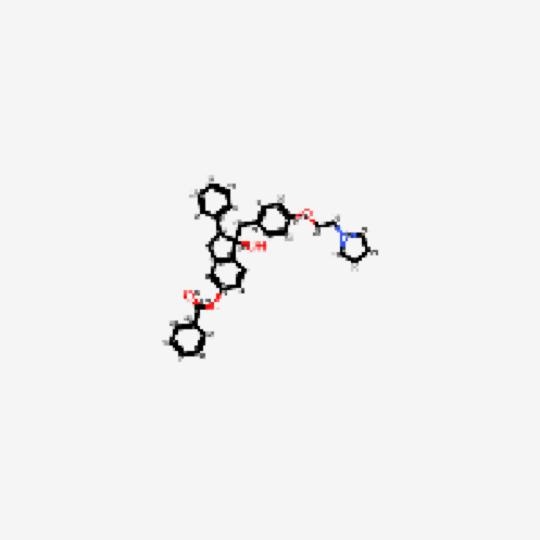 O=C(Oc1ccc2c(c1)CC(c1ccccc1)C2(O)Cc1ccc(OCCN2CCCC2)cc1)c1ccccc1